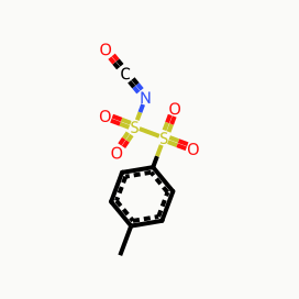 Cc1ccc(S(=O)(=O)S(=O)(=O)N=C=O)cc1